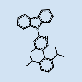 Cc1cc(-n2c3ccccc3c3ccccc32)ncc1-c1c(C(C)C)cccc1C(C)C